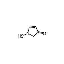 O=C1C=CN(S)C1